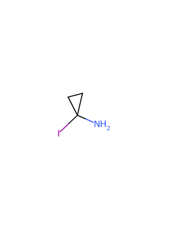 NC1(I)CC1